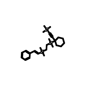 C[Si](C)(C)C#CC1([Si](C)(C)CC[Si](C)(C)C=Cc2ccccc2)CCCCC1